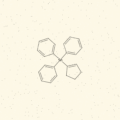 [CH]1C=[C]([Sn]([c]2ccccc2)([c]2ccccc2)[c]2ccccc2)CC1